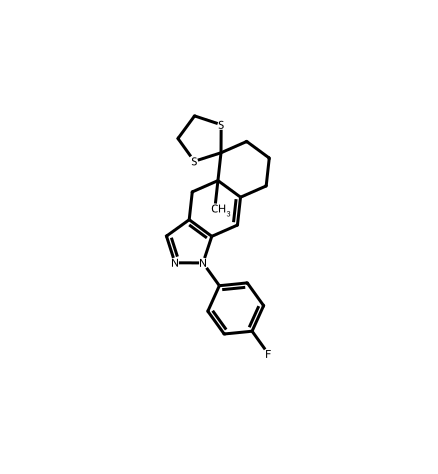 CC12Cc3cnn(-c4ccc(F)cc4)c3C=C1CCCC21SCCS1